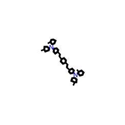 Cc1ccc(N(c2ccc(C=Cc3ccc(C=Cc4ccc(N(c5ccc(C)cc5)c5ccccc5C)cc4)cc3)cc2)c2ccccc2C)cc1